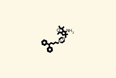 CC1=C(C)C2=C(N)C(C)(CN3CCN(CCCCC(c4ccccc4)c4ccccc4)CC3)CC2=C(C)O1